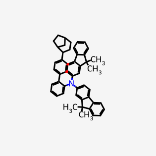 CC1(C)c2ccccc2-c2ccc(N(c3ccc4c(c3)C(C)(C)c3ccccc3-4)c3ccccc3-c3ccc(C4CCC5CCC4C5)cc3)cc21